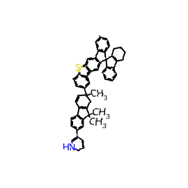 CC1(c2ccc3sc4cc5c(cc4c3c2)C2(C3=C(CCCC3)c3ccccc32)c2ccccc2-5)C=CC2=C(C1)C(C)(C)c1cc(C3=CNCC=C3)ccc12